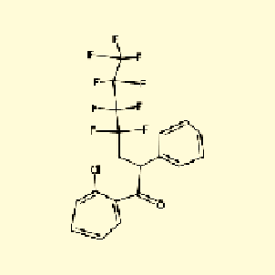 O=C(c1ccccc1Cl)C(CC(F)(F)C(F)(F)C(F)(F)C(F)(F)F)c1ccccc1